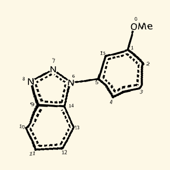 COc1cccc(-n2nnc3ccccc32)c1